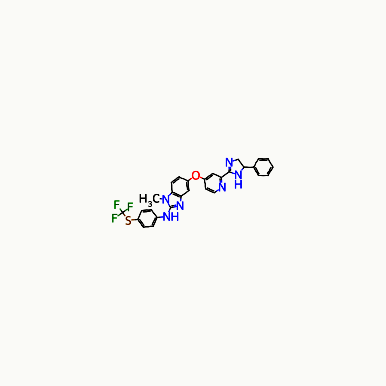 Cn1c(Nc2ccc(SC(F)(F)F)cc2)nc2cc(Oc3ccnc(C4=NCC(c5ccccc5)N4)c3)ccc21